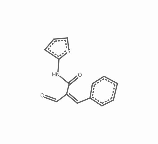 O=[C]C(=Cc1ccccc1)C(=O)Nc1cccs1